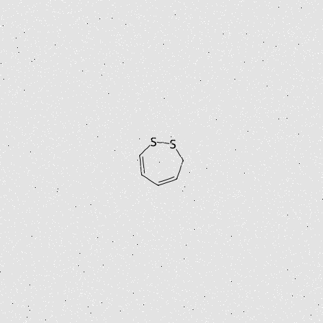 C1=CCSSC=C1